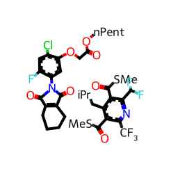 CCCCCOC(=O)COc1cc(N2C(=O)C3=C(CCCC3)C2=O)c(F)cc1Cl.CSC(=O)c1c(C(F)F)nc(C(F)(F)F)c(C(=O)SC)c1CC(C)C